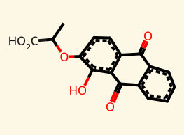 CC(Oc1ccc2c(c1O)C(=O)c1ccccc1C2=O)C(=O)O